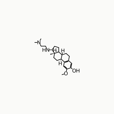 COc1cc2c(cc1O)CC[C@@H]1[C@@H]2CC[C@]2(C)[C@@H](NCCN(C)C)CC[C@@H]12